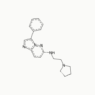 c1ccc(-c2cnc3ccc(NCCN4CCCC4)nn23)cc1